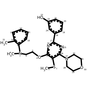 CSc1c(OCCN(C)c2ccccc2C)nc(-c2cccc(O)c2)nc1N1CCOCC1